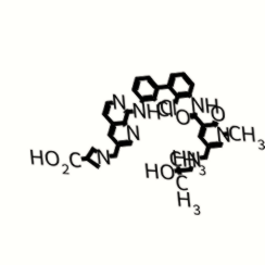 Cn1cc(CNCC(C)(C)O)cc(C(=O)Nc2cccc(-c3cccc(Nc4nccc5cc(CN6CC(C(=O)O)C6)cnc45)c3Cl)c2Cl)c1=O